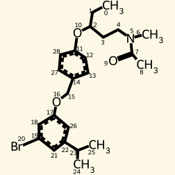 CCC(CCN(C)C(C)=O)Oc1ccc(COc2cc(Br)cc(C(C)C)c2)cc1